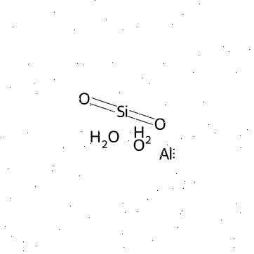 O.O.O=[Si]=O.[Al]